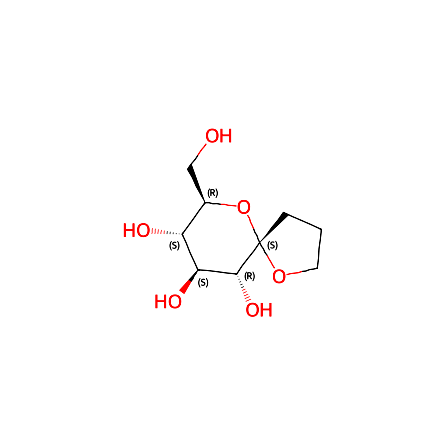 OC[C@H]1O[C@@]2(CCCO2)[C@H](O)[C@@H](O)[C@@H]1O